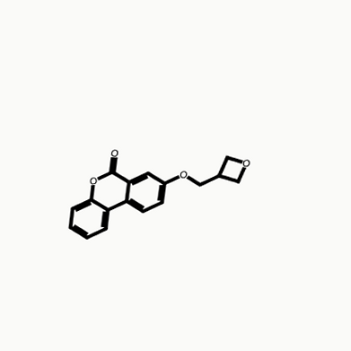 O=c1oc2ccccc2c2ccc(OCC3COC3)cc12